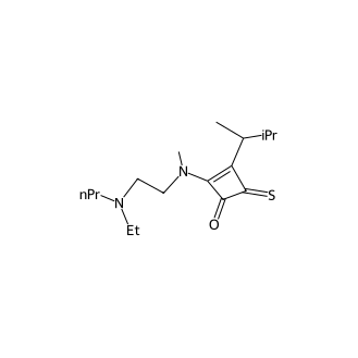 CCCN(CC)CCN(C)c1c(C(C)C(C)C)c(=S)c1=O